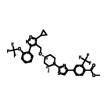 COC(=O)c1ccc(-c2csc(N3CC[C@@H](OCc4c(-c5ccccc5OC(F)(F)F)noc4C4CC4)C[C@H]3C)n2)cc1C(F)(F)F